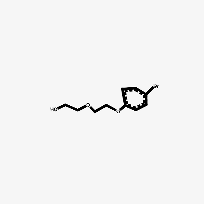 CC(C)c1ccc(OCCOCCO)cc1